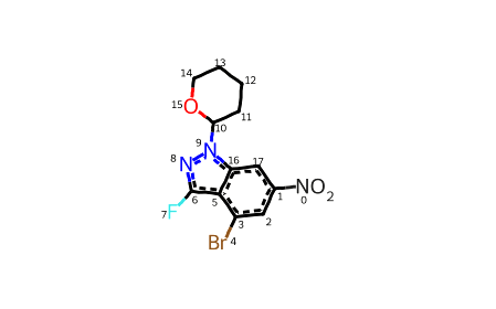 O=[N+]([O-])c1cc(Br)c2c(F)nn(C3CCCCO3)c2c1